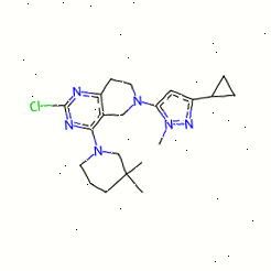 Cn1nc(C2CC2)cc1N1CCc2nc(Cl)nc(N3CCCC(C)(C)C3)c2C1